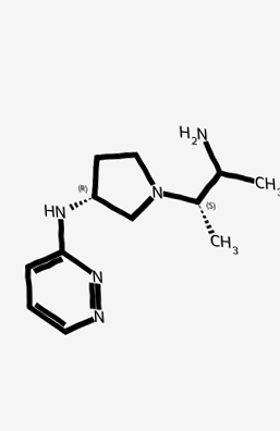 CC(N)[C@H](C)N1CC[C@@H](Nc2cccnn2)C1